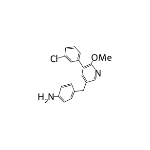 COc1ncc(Cc2ccc(N)cc2)cc1-c1cccc(Cl)c1